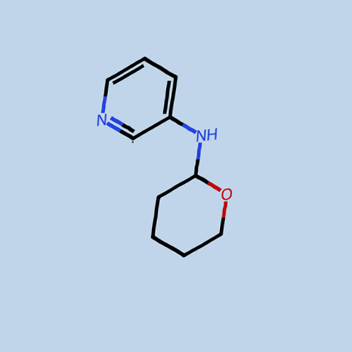 [c]1ncccc1NC1CCCCO1